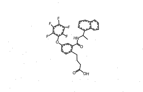 CC(NC(=O)c1cc(Oc2c(F)c(F)c(F)c(F)c2F)ccc1CCCC(=O)O)c1cccc2ccccc12